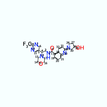 O=C(NCC(c1cnc(C(F)(F)F)nc1)N1CCOCC1)c1cccc2nc(N3CCC(O)C3)ccc12